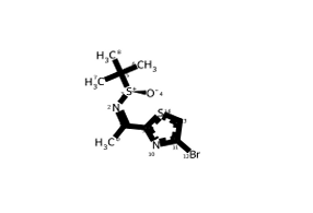 C/C(=N/[S@+]([O-])C(C)(C)C)c1nc(Br)cs1